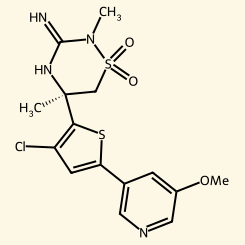 COc1cncc(-c2cc(Cl)c([C@]3(C)CS(=O)(=O)N(C)C(=N)N3)s2)c1